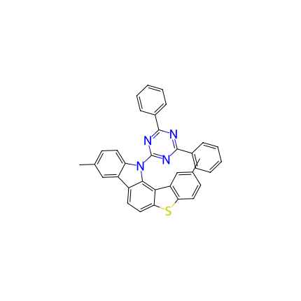 Cc1ccc2sc3ccc4c5cc(C)ccc5n(-c5nc(-c6ccccc6)nc(-c6ccccc6)n5)c4c3c2c1